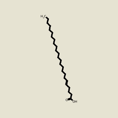 CCCCCCCCCCCCCCCCCCCC=CCCCC(=O)O